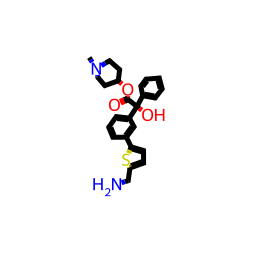 CN1CCC(OC(=O)C(O)(c2ccccc2)c2cccc(-c3ccc(CN)s3)c2)CC1